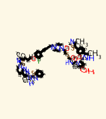 Cc1ncsc1-c1ccc([C@H](C)NC(=O)[C@@H]2C[C@@H](O)CN2C(=O)C(NC(=O)CSCC(=O)N2CCN(CC#Cc3ccc(OCCCc4sc(N5CCCc6c5nnc(Nc5nc7ccccc7s5)c6C)nc4C(=O)O)c(F)c3)CC2)C(C)(C)C)cc1